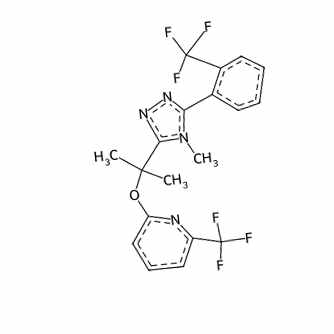 Cn1c(-c2ccccc2C(F)(F)F)nnc1C(C)(C)Oc1cccc(C(F)(F)F)n1